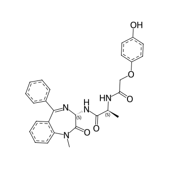 C[C@H](NC(=O)COc1ccc(O)cc1)C(=O)N[C@H]1N=C(c2ccccc2)c2ccccc2N(C)C1=O